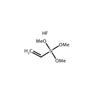 C=C[Si](OC)(OC)OC.F